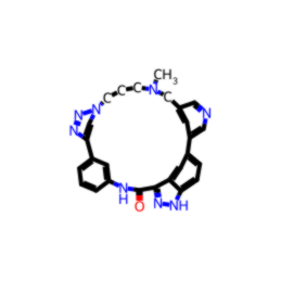 CN1CCCn2cc(nn2)-c2cccc(c2)NC(=O)c2n[nH]c3ccc(cc23)-c2cncc(c2)C1